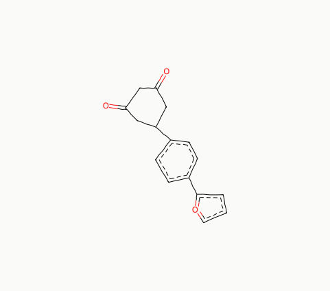 O=C1CC(=O)CC(c2ccc(-c3ccco3)cc2)C1